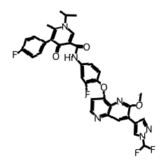 COc1nc2c(Oc3ccc(NC(=O)c4cn(C(C)C)c(C)c(-c5ccc(F)cc5)c4=O)cc3F)ccnc2cc1-c1cnn(C(F)F)c1